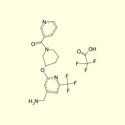 NCc1cc(O[C@H]2CCCN(C(=O)c3cccnc3)C2)nc(C(F)(F)F)c1.O=C(O)C(F)(F)F